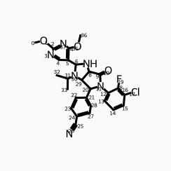 COc1ncc(C2NC3C(=O)N(c4cccc(Cl)c4F)C(c4ccc(C#N)cc4)C3N2C(C)C)c(OC)n1